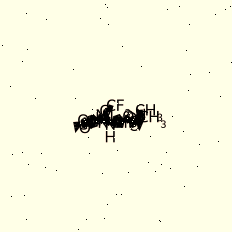 CN(C)CC1(S(=O)(=O)NC(=O)c2ccc(Nc3nc(OCC(F)(F)F)nc(N4CCN(S(=O)(=O)C5CC5)CC4)n3)cc2)CC1